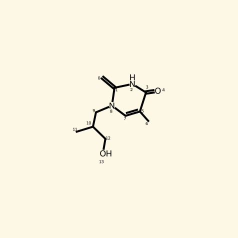 C=C1NC(=O)C(C)=CN1CC(C)CO